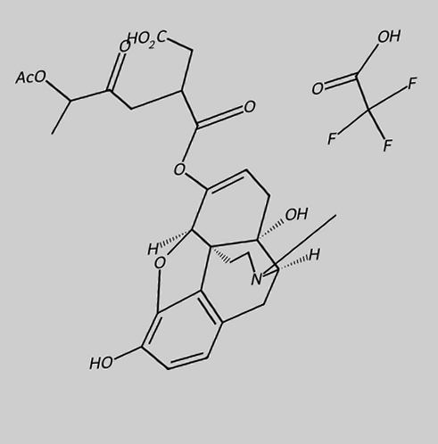 CC(=O)OC(C)C(=O)CC(CC(=O)O)C(=O)OC1=CC[C@@]2(O)[C@H]3Cc4ccc(O)c5c4[C@@]2(CCN3C)[C@H]1O5.O=C(O)C(F)(F)F